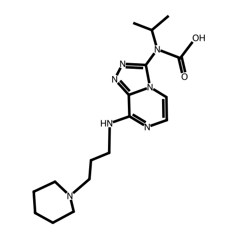 CC(C)N(C(=O)O)c1nnc2c(NCCCN3CCCCC3)nccn12